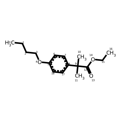 CCCCOc1ccc(C(C)(C)C(=O)OCC)cc1